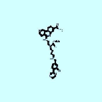 CC(C)(C)OC(=O)N(CCCCNCc1ccc(-c2cnccn2)c(Cl)c1)CCNc1nc2cc(C(N)=O)ccc2c2cnccc12